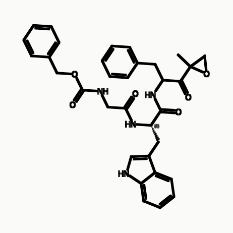 CC1(C(=O)C(Cc2ccccc2)NC(=O)[C@H](Cc2c[nH]c3ccccc23)NC(=O)CNC(=O)OCc2ccccc2)CO1